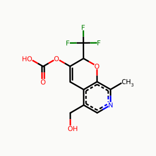 Cc1ncc(CO)c2c1OC(C(F)(F)F)C(OC(=O)O)=C2